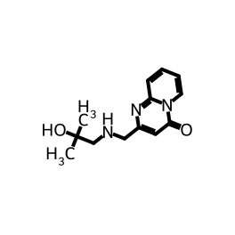 CC(C)(O)CNCc1cc(=O)n2ccccc2n1